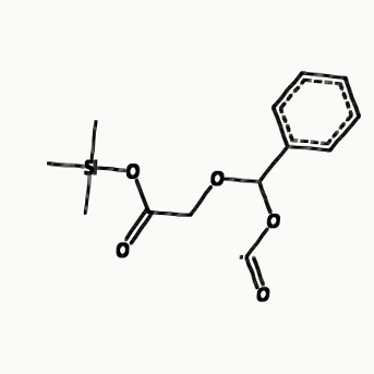 C[Si](C)(C)OC(=O)COC(O[C]=O)c1ccccc1